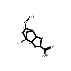 O=C(O)C1CC2C3C[C@@H](CC3OO)C2C1